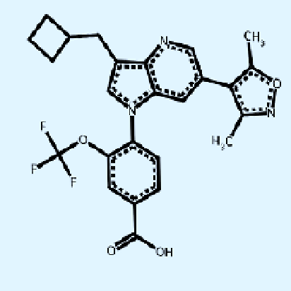 Cc1noc(C)c1-c1cnc2c(CC3CCC3)cn(-c3ccc(C(=O)O)cc3OC(F)(F)F)c2c1